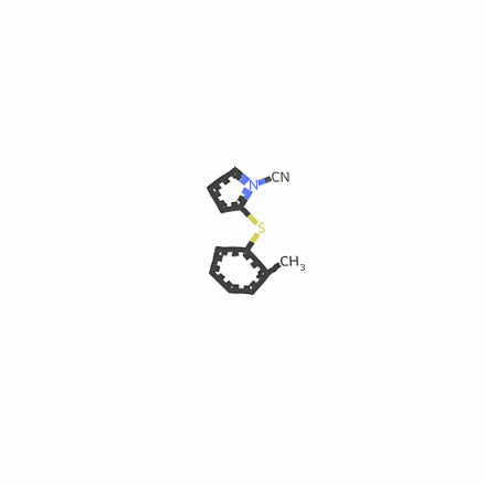 Cc1ccccc1Sc1cc[c]n1C#N